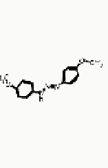 COc1ccc(/N=N/Nc2ccc(OC)cc2)cc1